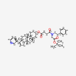 CC(C)(C)OC(=O)CN(CCc1ccccc1)C(=O)CCC(=O)O[C@H]1CC[C@@]2(C)C(=CC[C@H]3C4CC=C(c5cccnc5)[C@@]4(C)CC[C@@H]32)C1